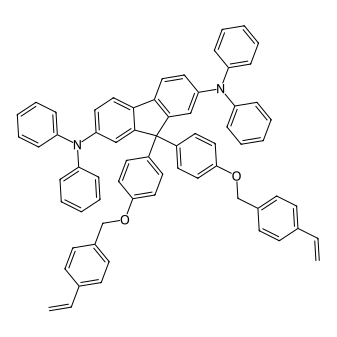 C=Cc1ccc(COc2ccc(C3(c4ccc(OCc5ccc(C=C)cc5)cc4)c4cc(N(c5ccccc5)c5ccccc5)ccc4-c4ccc(N(c5ccccc5)c5ccccc5)cc43)cc2)cc1